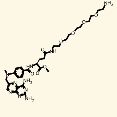 COC(=O)[C@H](CCC(=O)NCCOCCOCCOCCOCCN)NC(=O)c1ccc(N(C)Cc2cnc3nc(N)nc(N)c3n2)cc1